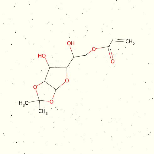 C=CC(=O)OCC(O)C1OC2OC(C)(C)OC2C1O